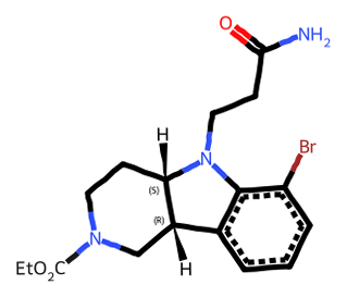 CCOC(=O)N1CC[C@H]2[C@@H](C1)c1cccc(Br)c1N2CCC(N)=O